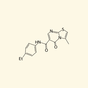 CCc1ccc(NC(=O)c2cnc3scc(C)n3c2=O)cc1